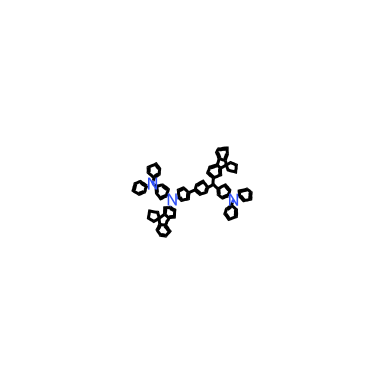 c1ccc(N(c2ccccc2)c2ccc(C(c3ccc(-c4ccc(N(c5ccc(N(c6ccccc6)c6ccccc6)cc5)c5ccc6c(c5)C5(CCCC5)c5ccccc5-6)cc4)cc3)c3ccc4c(c3)C3(CCCC3)c3ccccc3-4)cc2)cc1